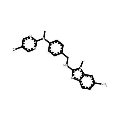 CN(c1ccc(CNc2nc3ccc(N)cc3n2C)cc1)c1ncc(Cl)cn1